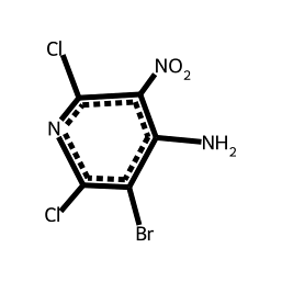 Nc1c(Br)c(Cl)nc(Cl)c1[N+](=O)[O-]